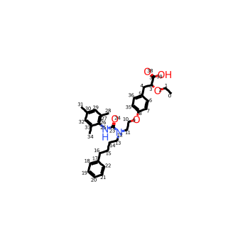 CCOC(Cc1ccc(OCCN(CCCCc2ccccc2)C(=O)Nc2c(C)cc(C)cc2C)cc1)C(=O)O